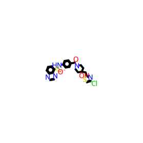 O=C(c1ccc(N[S+]([O-])c2cccc3nccnc23)cc1)N1CCC(O)(Cc2nc(Cl)cs2)CC1